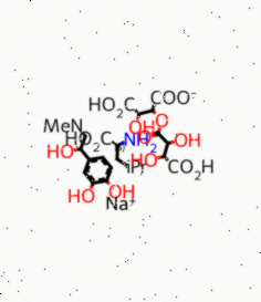 CC(C)C[C@H](N)C(=O)O.CNCC(O)c1ccc(O)c(O)c1.O=C(O)C(O)C(O)C(=O)OC(C(=O)[O-])C(O)C(=O)O.[Na+]